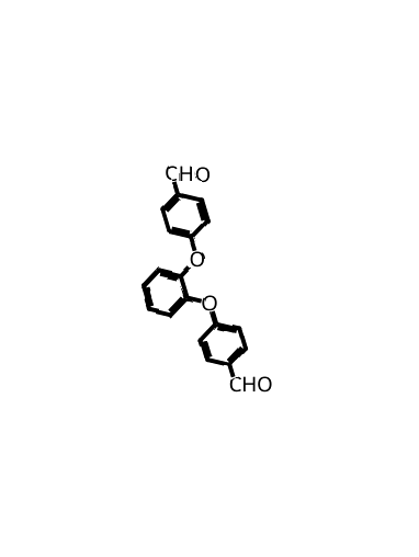 O=Cc1ccc(Oc2ccccc2Oc2ccc(C=O)cc2)cc1